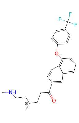 CNCC[C@@H](C)CCC(=O)c1ccc2c(Oc3ccc(C(F)(F)F)cc3)cccc2c1